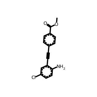 COC(=O)c1ccc(C#Cc2cc(Cl)ccc2N)cc1